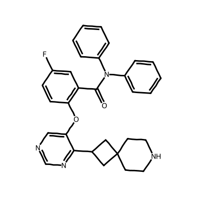 O=C(c1cc(F)ccc1Oc1cncnc1C1CC2(CCNCC2)C1)N(c1ccccc1)c1ccccc1